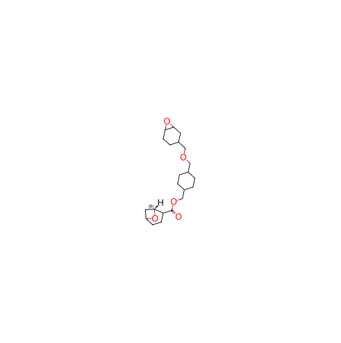 O=C(OCC1CCC(COCC2CCC3OC3C2)CC1)C1CCC2C[C@H]1O2